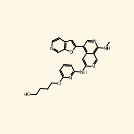 CNc1ncc(-c2cc3ccncc3o2)c2cc(Nc3cccc(OCCCCO)n3)ncc12